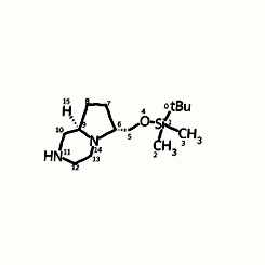 CC(C)(C)[Si](C)(C)OC[C@H]1CC[C@@H]2CNCCN21